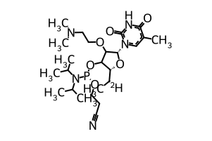 [2H][C@@H](C)[C@H]1O[C@@H](n2cc(C)c(=O)[nH]c2=O)C(OCCN(C)C)C1OP(OCCC#N)N(C(C)C)C(C)C